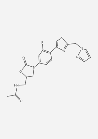 CC(=O)NCC1CN(c2ccc(-c3csc(Cn4cccn4)n3)c(F)c2)C(=O)O1